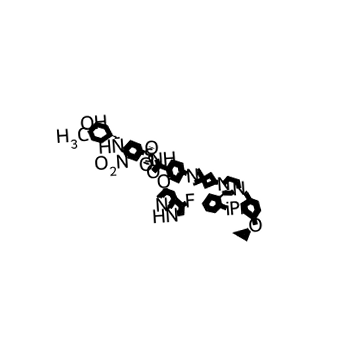 CC(C)c1ccccc1[C@@H]1CN(Cc2ccc(OC3CC3)cc2)CCN1C1CC2(C1)CN(c1ccc(C(=O)NS(=O)(=O)c3ccc(NC[C@H]4CC[C@](C)(O)CC4)c([N+](=O)[O-])c3)c(Oc3cnc4[nH]cc(F)c4c3)c1)C2